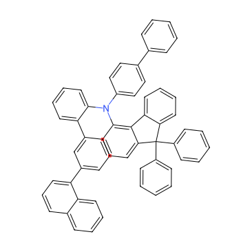 c1ccc(-c2ccc(N(c3ccccc3-c3cccc(-c4cccc5ccccc45)c3)c3cccc4c3-c3ccccc3C4(c3ccccc3)c3ccccc3)cc2)cc1